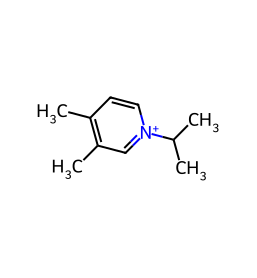 Cc1cc[n+](C(C)C)cc1C